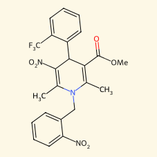 COC(=O)C1=C(C)N(Cc2ccccc2[N+](=O)[O-])C(C)=C([N+](=O)[O-])C1c1ccccc1C(F)(F)F